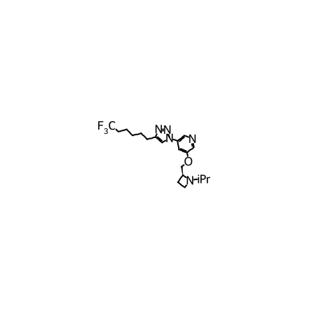 CC(C)N1CC[C@H]1COc1cncc(-n2cc(CCCCCC(F)(F)F)nn2)c1